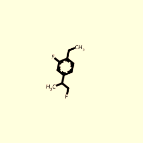 CCc1ccc([C](C)CF)cc1F